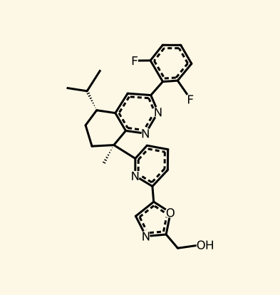 CC(C)[C@H]1CC[C@](C)(c2cccc(-c3cnc(CO)o3)n2)c2nnc(-c3c(F)cccc3F)cc21